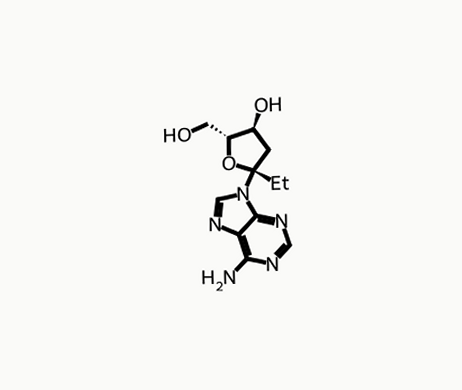 CC[C@]1(n2cnc3c(N)ncnc32)C[C@H](O)[C@@H](CO)O1